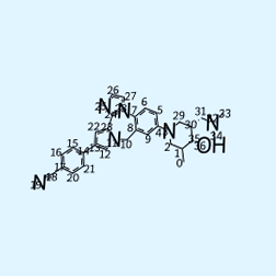 CC1CN(c2ccc3c(c2)Cn2cc(-c4ccc(C#N)cc4)cc2-c2nccn2-3)C[C@H](CN(C)C)[C@@H]1O